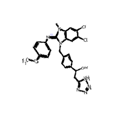 Cn1/c(=N/c2ccc(OC(F)(F)F)cc2)n(Cc2ccc(C(O)Cc3nnn[nH]3)cc2)c2cc(Cl)c(Cl)cc21